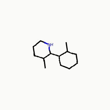 CC1CCCCC1C1NCCCC1C